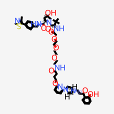 Cc1ncsc1-c1ccc(CNC(=O)[C@@H]2C[C@@H](O)CN2C(=O)[C@@H](NC(=O)COCCOCCOCCNC(=O)CCCOc2cccc(N3C[C@H]4C[C@@H]3CN4/C=C/C(=O)c3ccccc3O)n2)C(C)(C)C)cc1